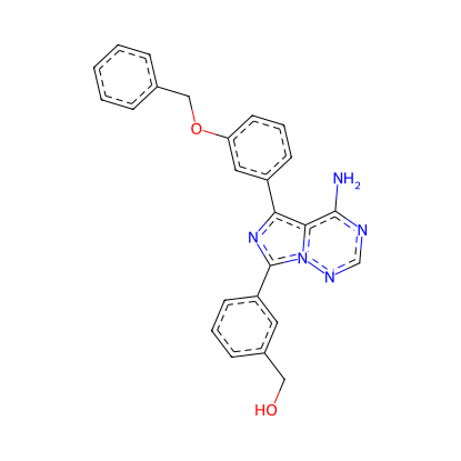 Nc1ncnn2c(-c3cccc(CO)c3)nc(-c3cccc(OCc4ccccc4)c3)c12